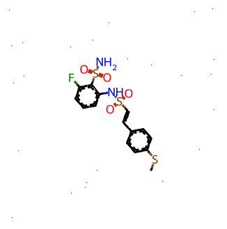 CSc1ccc(C=CS(=O)(=O)Nc2cccc(F)c2S(N)(=O)=O)cc1